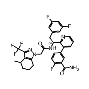 CC1CCCc2c1c(C(F)(F)F)nn2CC(=O)N[C@@H](Cc1cc(F)cc(F)c1)c1ncccc1-c1ccc(F)c(C(N)=O)c1